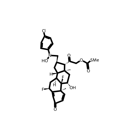 CSC(=O)OCC(=O)[C@H]1[C@H](CN(O)c2ccc(Cl)cc2)C[C@H]2[C@@H]3C[C@H](F)C4=CC(=O)C=C[C@]4(C)[C@@]3(F)[C@@H](O)C[C@@]21C